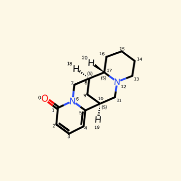 O=c1cccc2n1C[C@@H]1C[C@H]2CN2CCCC[C@@H]12